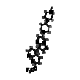 CN1CCN(C2CCN(c3cnc4c(-c5ccnc6nc(OC(F)(F)F)ccc56)cnn4c3)CC2)CC1